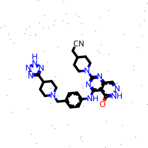 N#CCC1CCN(c2nc(Nc3ccc(CN4CCC(c5nn[nH]n5)CC4)cc3)c3c(=O)[nH]ncc3n2)CC1